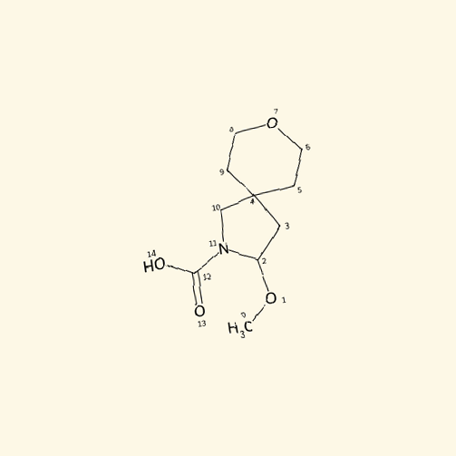 COC1CC2(CCOCC2)CN1C(=O)O